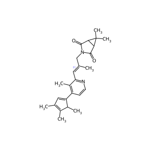 CC1=C(C)C(C)C(c2ccnc(/C=C(\C)CN3C(=O)C4C(C3=O)C4(C)C)c2C)=C1